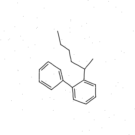 CCCCC(C)c1ccccc1-c1ccccc1